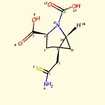 NC(=S)C[C@@]12C[C@@H](C(=O)O)N(C(=O)O)[C@@H]1C2